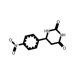 O=C1CC(c2ccc([N+](=O)[O-])cc2)NC(=O)N1